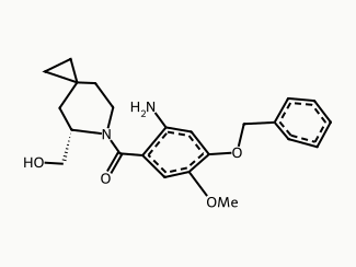 COc1cc(C(=O)N2CCC3(CC3)C[C@H]2CO)c(N)cc1OCc1ccccc1